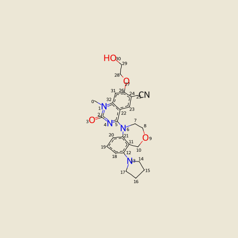 Cn1c(=O)nc(N2CCOCc3c(N4CCCC4)cccc32)c2cc(C#N)c(OCCO)cc21